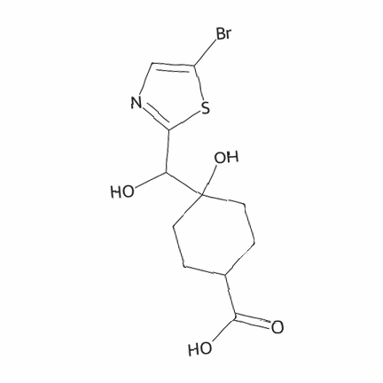 O=C(O)C1CCC(O)(C(O)c2ncc(Br)s2)CC1